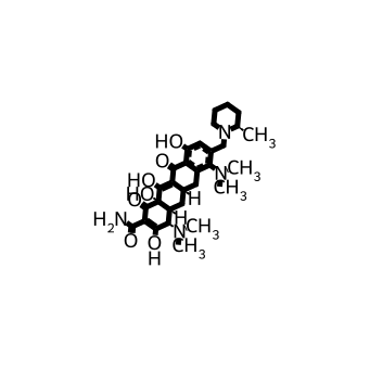 C[C@H]1CCCCN1Cc1cc(O)c2c(c1N(C)C)C[C@H]1C[C@H]3[C@H](N(C)C)C(O)=C(C(N)=O)C(=O)[C@@]3(O)C(O)=C1C2=O